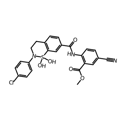 COC(=O)c1cc(C#N)ccc1NC(=O)c1ccc2c(c1)S(O)(O)N(c1ccc(Cl)cc1)CC2